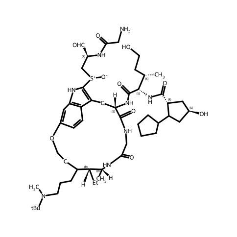 CC[C@@H]1C(CCCN(C)C(C)(C)C)CCOc2ccc3c(c([S+]([O-])C[C@@H](C=O)NC(=O)CN)[nH]c3c2)C[C@H](NC(=O)[C@@H](NC(=O)[C@@H]2C[C@@H](O)CC2C2CCCC2)[C@@H](C)CCO)C(=O)NCC(=O)N[C@@H]1C